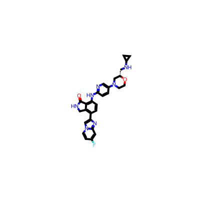 O=C1NCc2c(-c3cn4ccc(F)cc4n3)ccc(Nc3ccc(N4CCO[C@@H](CNC5CC5)C4)cn3)c21